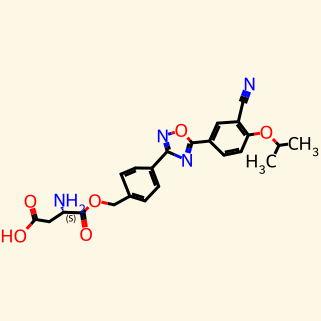 CC(C)Oc1ccc(-c2nc(-c3ccc(COC(=O)[C@@H](N)CC(=O)O)cc3)no2)cc1C#N